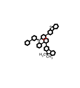 CC1(C)c2ccccc2-c2cc(-c3ccccc3-c3ccccc3N(c3ccc(-c4ccc5c(c4)sc4ccccc45)cc3)c3cccc(-c4ccccc4)c3)ccc21